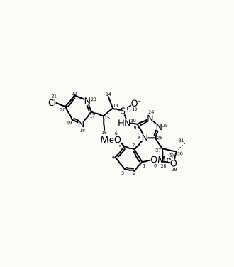 COc1cccc(OC)c1-n1c(N[S+]([O-])C(C)C(C)c2ncc(Cl)cn2)nnc1C1CO[C@H]1C